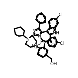 C[C@@H](c1ccc(Cl)cc1)n1cnc(-c2ccccc2)c1-c1c(C(=O)Nc2cc(CO)ccc2N2CCN(C3CCCCC3)CC2)[nH]c2cc(Cl)ccc12